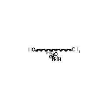 CCCCCCCCCCCCCCC=CO.O=S(=O)(O)O.[NaH]